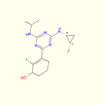 CC(C)Nc1nc(N[C@@H]2C[C@@H]2F)nc(C2=C(F)C(O)CCC2)n1